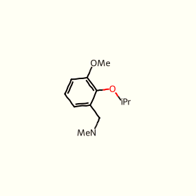 CNCc1cccc(OC)c1OC(C)C